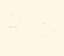 CON=C(C)C(C)O[PH](=O)OC(C)C(C)=NOC